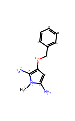 Cn1c(N)cc(OCc2ccccc2)c1N